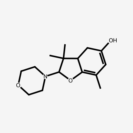 CC1=C2OC(N3CCOCC3)C(C)(C)C2CC(O)=C1